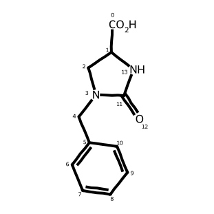 O=C(O)C1CN(Cc2ccccc2)C(=O)N1